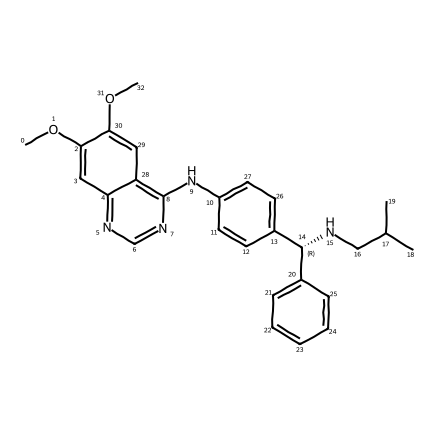 COc1cc2ncnc(Nc3ccc([C@H](NCC(C)C)c4ccccc4)cc3)c2cc1OC